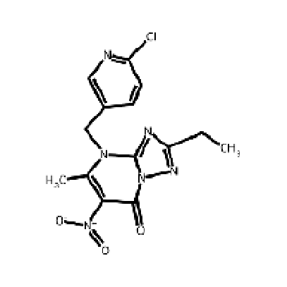 CCc1nc2n(Cc3ccc(Cl)nc3)c(C)c([N+](=O)[O-])c(=O)n2n1